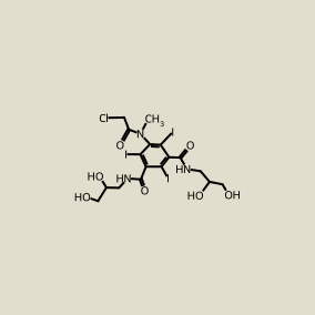 CN(C(=O)CCl)c1c(I)c(C(=O)NCC(O)CO)c(I)c(C(=O)NCC(O)CO)c1I